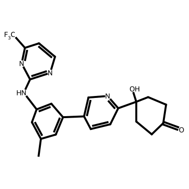 Cc1cc(Nc2nccc(C(F)(F)F)n2)cc(-c2ccc(C3(O)CCC(=O)CC3)nc2)c1